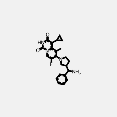 Cc1c(N2CCC(C(N)c3ccccc3)C2)c(F)cn2c(=O)[nH]c(=O)c(C3CC3)c12